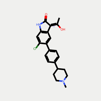 C/C(O)=C1\C(=O)Nc2cc(Cl)c(-c3ccc(C4CCN(C)CC4)cc3)cc21